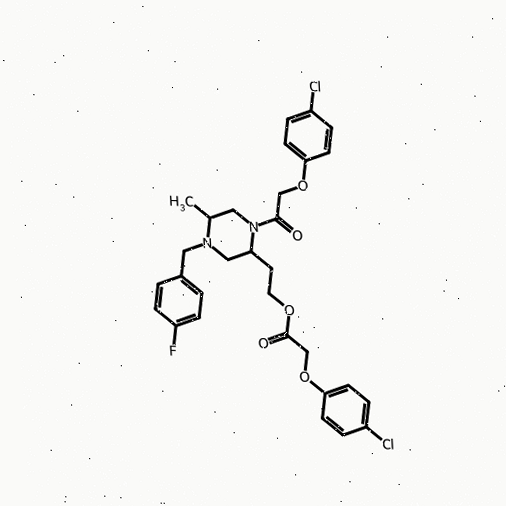 CC1CN(C(=O)COc2ccc(Cl)cc2)C(CCOC(=O)COc2ccc(Cl)cc2)CN1Cc1ccc(F)cc1